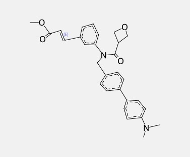 COC(=O)/C=C/c1cccc(N(Cc2ccc(-c3ccc(N(C)C)cc3)cc2)C(=O)C2COC2)c1